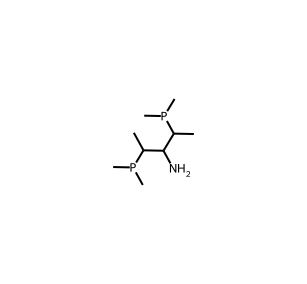 CC(C(N)C(C)P(C)C)P(C)C